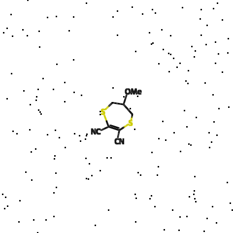 COC1CSC(C#N)=C(C#N)SC1